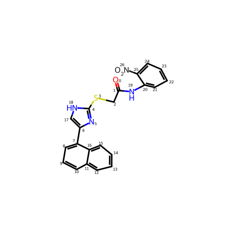 O=C(CSc1nc(-c2cccc3ccccc23)c[nH]1)Nc1ccccc1[N+](=O)[O-]